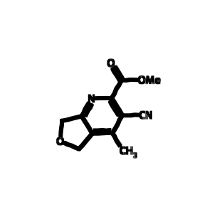 COC(=O)c1nc2c(c(C)c1C#N)COC2